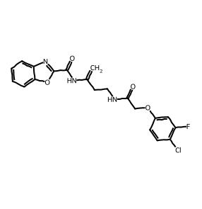 C=C(CCNC(=O)COc1ccc(Cl)c(F)c1)NC(=O)c1nc2ccccc2o1